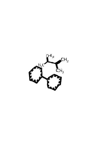 C=C(C)C(=C)C.c1ccc(-c2ccccc2)cc1